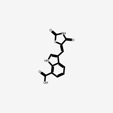 O=C1NC(=O)/C(=C/c2c[nH]c3c(C(=O)O)cccc23)S1